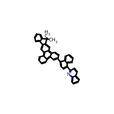 CC1(C)c2ccccc2-c2cc3c4ccccc4c4cc(-c5ccc(-c6ccc7ccccc7n6)c6ccccc56)ccc4c3cc21